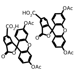 CC(=O)Oc1ccc2c(c1)Oc1cc(OC(C)=O)ccc1C21OC(=O)c2cc(C(=O)O)ccc21.CC(=O)Oc1ccc2c(c1)Oc1cc(OC(C)=O)ccc1C21OC(=O)c2ccc(C(=O)O)cc21